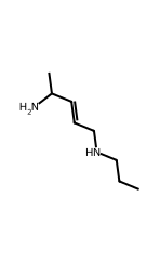 CCCNC/C=C/C(C)N